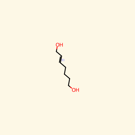 OC/C=C/CCCCO